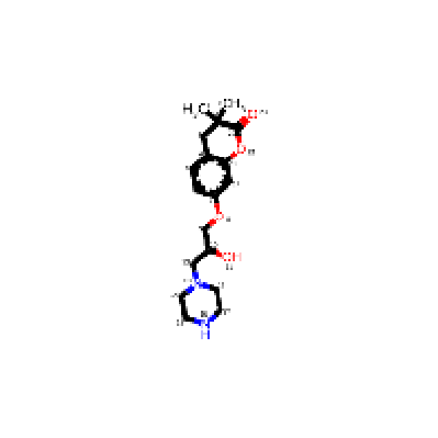 CC1(C)Cc2ccc(OCC(O)CN3CCNCC3)cc2OC1=O